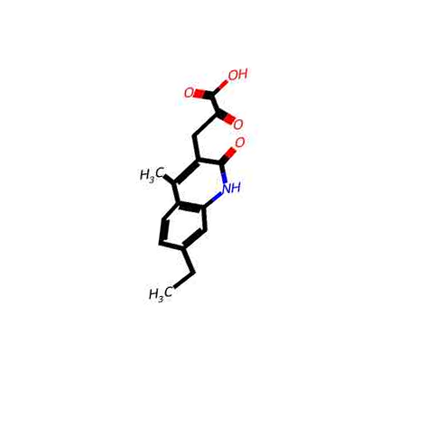 CCc1ccc2c(C)c(CC(=O)C(=O)O)c(=O)[nH]c2c1